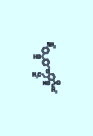 CCCc1c(OCc2ccc(C(O)c3ccc(N)cc3)cc2)ccc(C(C)=O)c1O